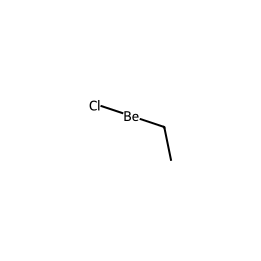 C[CH2][Be][Cl]